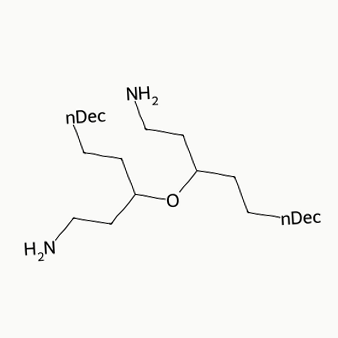 CCCCCCCCCCCCC(CCN)OC(CCN)CCCCCCCCCCCC